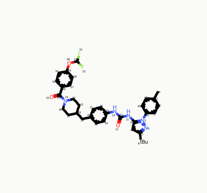 Cc1ccc(-n2nc(C(C)(C)C)cc2NC(=O)Nc2ccc(CC3CCN(C(=O)c4ccc(OC(F)F)cc4)CC3)cc2)cc1